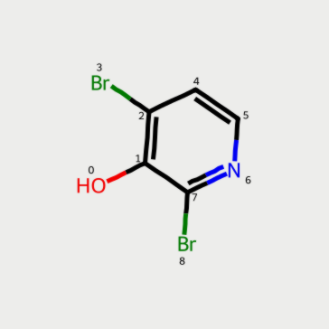 Oc1c(Br)ccnc1Br